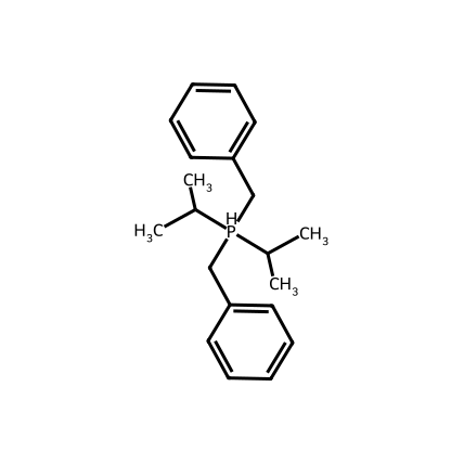 CC(C)[PH](Cc1ccccc1)(Cc1ccccc1)C(C)C